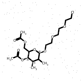 CC(=O)OCC1O[C@@H](OCCOCCOCCCl)C(C)[C@@H](C)[C@H]1OC(C)=O